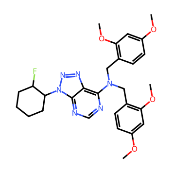 COc1ccc(CN(Cc2ccc(OC)cc2OC)c2ncnc3c2nnn3C2CCCCC2F)c(OC)c1